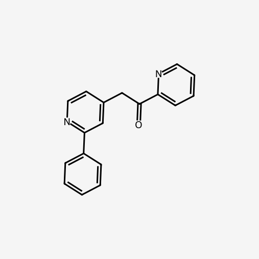 O=C(Cc1ccnc(-c2ccccc2)c1)c1ccccn1